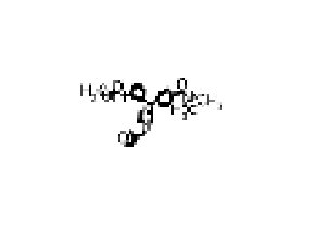 CCN(CC)C(=O)c1ccc(C(c2cccc(NC(=O)OC)c2)N2CCN(Cc3ccoc3)CC2)cc1